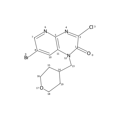 O=c1c(Cl)nc2ncc(Br)cc2n1CC1CCOCC1